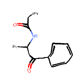 CC(C)C(=O)NC(C(=O)c1ccccc1)C(C)C